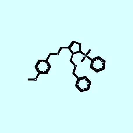 COc1ccc(COCC2=CCC([Si](C)(C)c3ccccc3)[C@H]2COCc2ccccc2)cc1